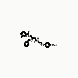 COc1ccc(NCCNC(=O)CC(CNC(=O)c2cccc(C)c2)OCc2ccccc2)cc1